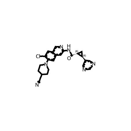 N#CC1CCN(c2cc3cc(NC(=O)[C@@H]4C[C@H]4c4cncnc4)ncc3cc2Cl)CC1